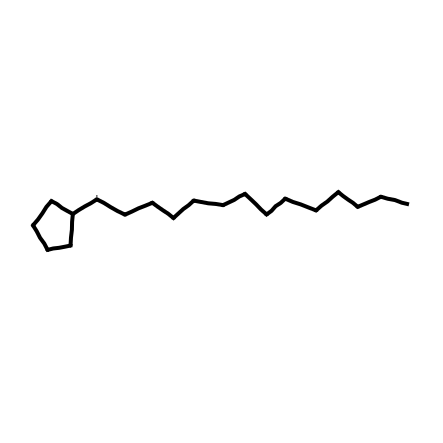 CCCCCCCCCCCCC[CH]C1CCCC1